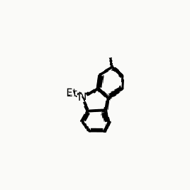 CCn1c2ccccc2c2ccc(C)cc21